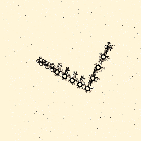 Cc1ccccc1[N+]#N.Cc1ccccc1[N+]#N.Cc1ccccc1[N+]#N.Cc1ccccc1[N+]#N.Cc1ccccc1[N+]#N.Cc1ccccc1[N+]#N.Cc1ccccc1[N+]#N.Cc1ccccc1[N+]#N.O=[As]([O-])([O-])F.O=[As]([O-])([O-])F.O=[As]([O-])([O-])F.O=[As]([O-])([O-])F